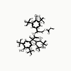 CCC(=O)OCC(OC(=O)C(C)(c1cc(C(C)(C)C)c(O)c(C(C)(C)C)c1)C1CC(C)(C)NC(C)(C)C1)c1cc(C(C)(C)C)c(O)c(C(C)(C)C)c1